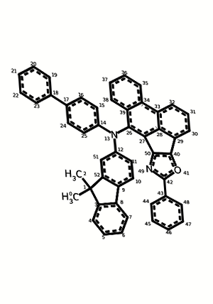 CC1(C)c2ccccc2-c2ccc(N(c3ccc(-c4ccccc4)cc3)c3c4c5c(cccc5c5ccccc35)-c3oc(-c5ccccc5)nc3-4)cc21